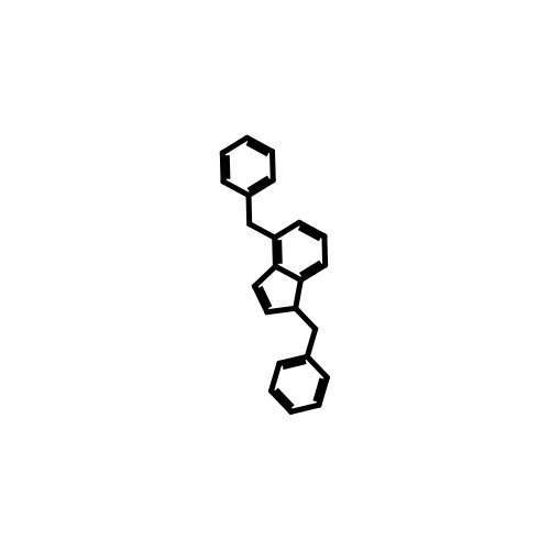 C1=CC(Cc2ccccc2)c2cccc(Cc3ccccc3)c21